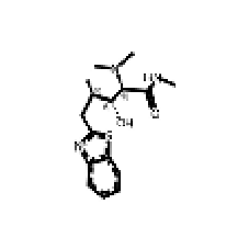 CNC(=O)[C@@H]([C@H](O)[C@H](C)Cc1nc2ccccc2s1)N(C)C